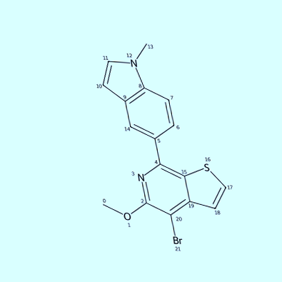 COc1nc(-c2ccc3c(ccn3C)c2)c2sccc2c1Br